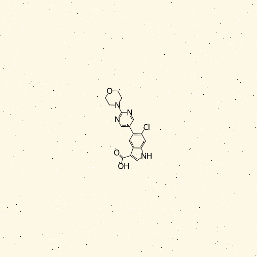 O=C(O)c1c[nH]c2cc(Cl)c(-c3cnc(N4CCOCC4)nc3)cc12